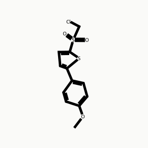 COc1ccc(-c2ccc(S(=O)(=O)CCl)s2)cc1